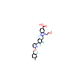 COCCn1c(Cc2c(F)cc(-c3cccc(OCc4ccc(C)cc4F)n3)c(F)c2F)nc2ccc(C(=O)O)cc21